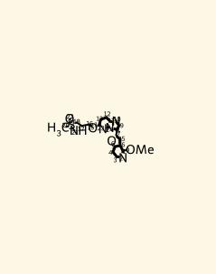 COc1nccc2oc(-c3cnc4ccc(OCCCS(C)(=N)=O)nn34)cc12